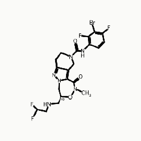 CN1O[C@@H](CNCC(F)F)Cn2nc3c(c2C1=O)CN(C(=O)Nc1ccc(F)c(Br)c1F)CC3